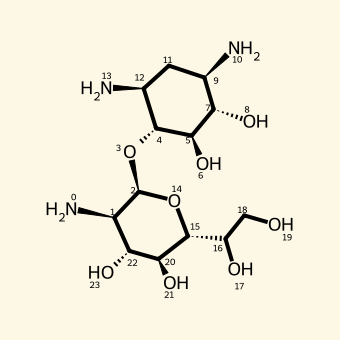 N[C@H]1[C@@H](O[C@H]2[C@H](O)[C@@H](O)[C@H](N)C[C@@H]2N)O[C@H](C(O)CO)[C@@H](O)[C@@H]1O